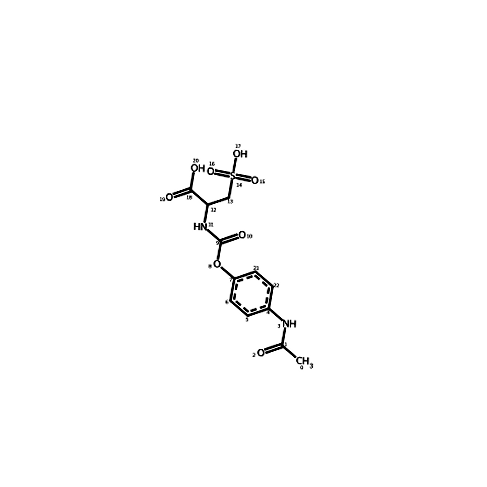 CC(=O)Nc1ccc(OC(=O)NC(CS(=O)(=O)O)C(=O)O)cc1